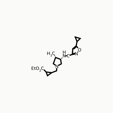 CCOC(=O)C1CC1CN1C[C@H](C)[C@H](NCc2cc(C3CC3)on2)C1